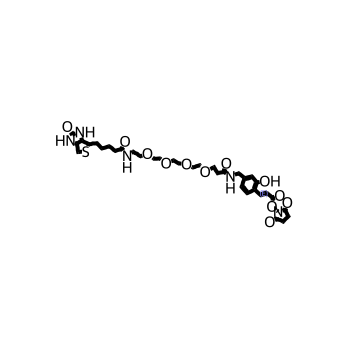 O=C(CCCCC1SCC2NC(=O)NC21)NCCOCCOCCOCCOCCC(=O)NCc1ccc(/C=C/C(=O)ON2C(=O)CCC2=O)c(O)c1